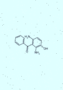 Nc1ccc(O)c(N)c1C(=O)c1ccccc1